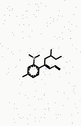 C=C/C=C(\CC(C)CC)c1ccc(C)cc1N(C)C